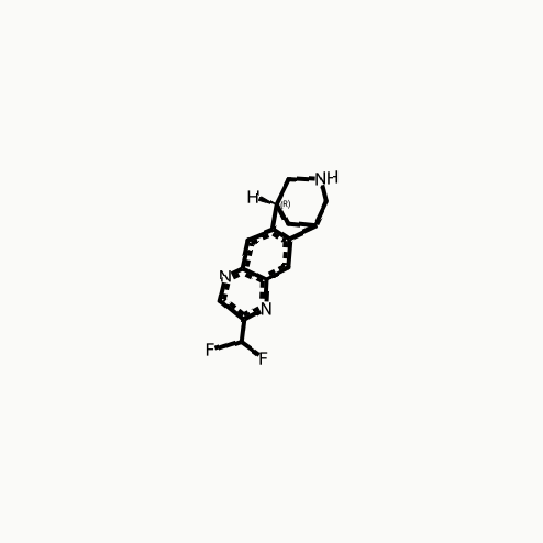 FC(F)c1cnc2cc3c(cc2n1)C1CNC[C@@H]3C1